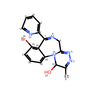 CCC1=NN=C2CN=C(c3ccccn3)c3c(Br)cccc3N2C1O